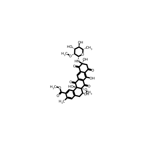 COC(=O)c1cc2c(cc1C)C[C@@H](O)[C@]1(OC)C(=O)c3c(cc4c(c3O)C(=O)C[C@](O)(N[C@H]3O[C@@H](C)[C@H](O)[C@@H](O)[C@H]3OC)C4=O)C(=O)[C@@]21O